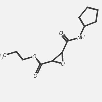 CCCOC(=O)C1OC1C(=O)NC1CCCC1